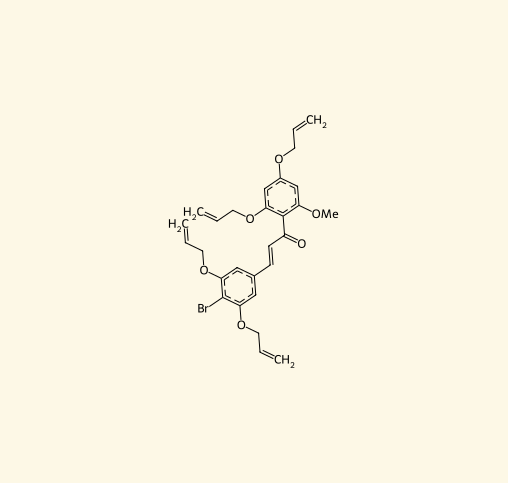 C=CCOc1cc(OC)c(C(=O)C=Cc2cc(OCC=C)c(Br)c(OCC=C)c2)c(OCC=C)c1